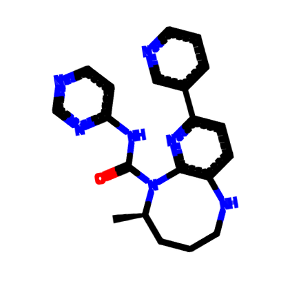 C[C@@H]1CCCNc2ccc(-c3cccnc3)nc2N1C(=O)Nc1ccncn1